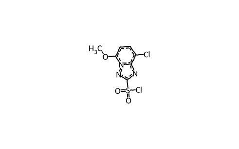 COc1ccc(Cl)c2nc(S(=O)(=O)Cl)nn12